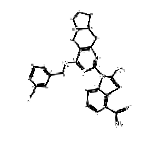 Cc1cc2c(C(N)=O)cccc2n1-c1nc2c(c(NCc3cccc(F)c3)n1)CN1CCCC1C2